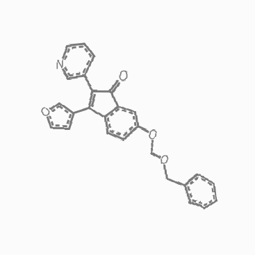 O=C1C(c2cccnc2)=C(c2ccoc2)c2ccc(OCOCc3ccccc3)cc21